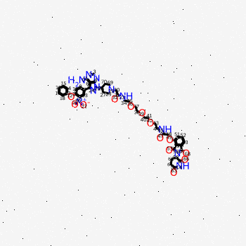 Nc1ncnc2c1c(-c1ccc(Oc3ccccc3)c([N+](=O)[O-])c1)nn2C1CCN(CC(=O)NCCOCCOCCOCCNC(=O)COc2cccc3c2C(=O)N(C2CCC(=O)NC2=O)C3=O)CC1